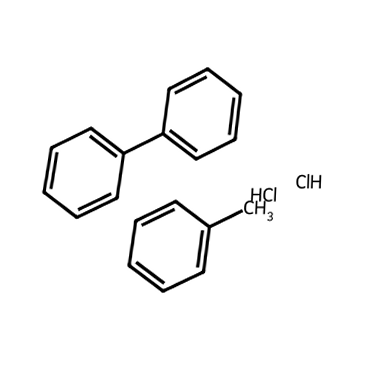 Cc1ccccc1.Cl.Cl.c1ccc(-c2ccccc2)cc1